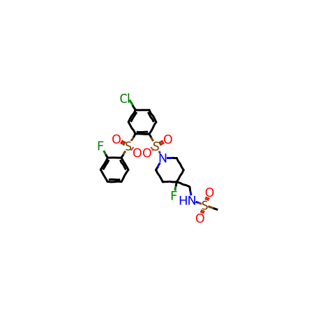 CS(=O)(=O)NCC1(F)CCN(S(=O)(=O)c2ccc(Cl)cc2S(=O)(=O)c2ccccc2F)CC1